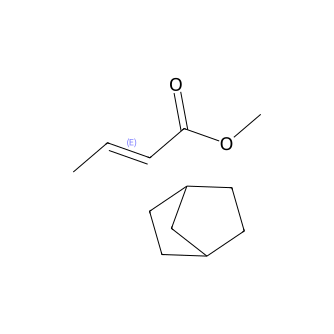 C/C=C/C(=O)OC.C1CC2CCC1C2